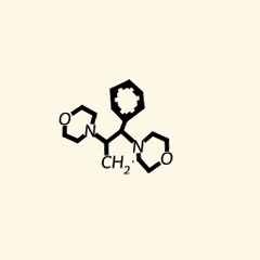 [CH2]C(C(c1ccccc1)N1CCOCC1)N1CCOCC1